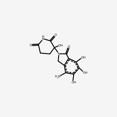 Nc1c(O)c(O)c(O)c2c1CN(C1(O)CCC(=O)NC1=O)C2=O